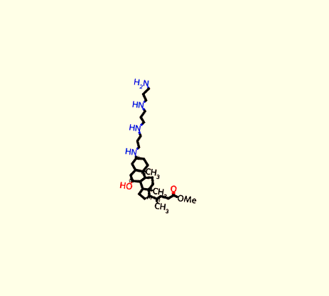 COC(=O)CC[C@@H](C)[C@H]1CCC2C3C(CC[C@@]21C)[C@@]1(C)CC[C@H](NCCCNCCCNCCCN)CC1C[C@@H]3O